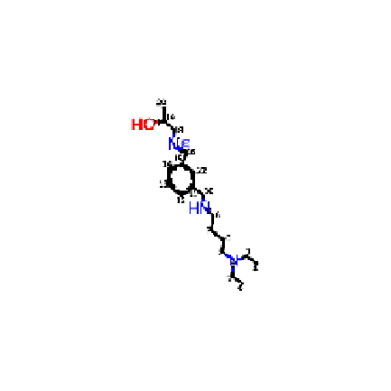 CCN(CC)CCCCNCc1cccc(/C=N/CC(C)O)c1